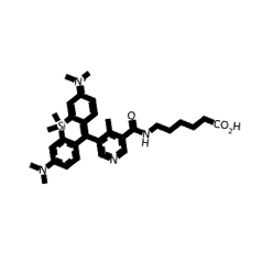 Cc1c(C(=O)NCCCCCC(=O)O)cncc1C1=C2C=CC(=[N+](C)C)C=C2[Si](C)(C)c2cc(N(C)C)ccc21